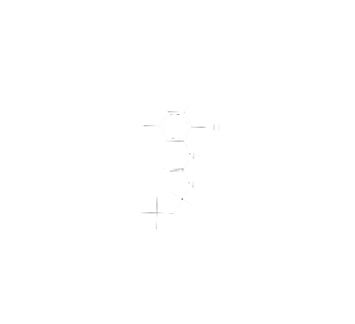 CC(C)(C)CC(C)(C)NC(=S)Nc1cc(Cl)cc(Cl)c1O